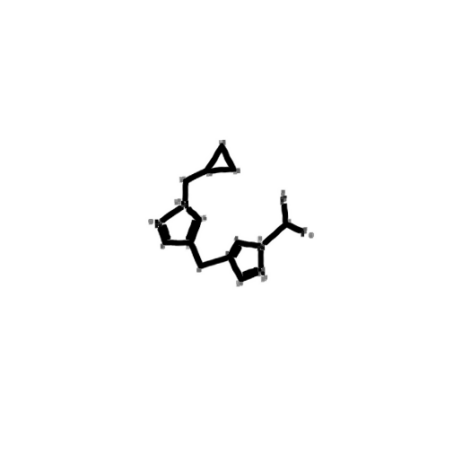 FC(F)n1cc(Cc2cnn(CC3CC3)c2)cn1